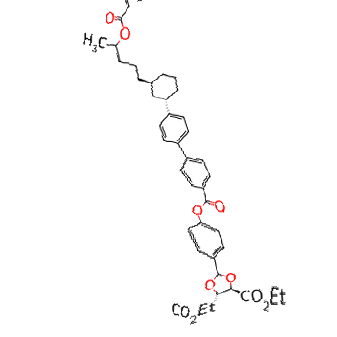 C=CC(=O)OC(C)CCC[C@H]1CCC[C@H](c2ccc(-c3ccc(C(=O)Oc4ccc(C5O[C@@H](C(=O)OCC)[C@H](C(=O)OCC)O5)cc4)cc3)cc2)C1